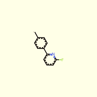 [CH2]c1ccc(-c2cccc(F)n2)cc1